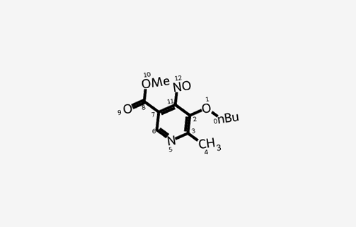 CCCCOc1c(C)ncc(C(=O)OC)c1N=O